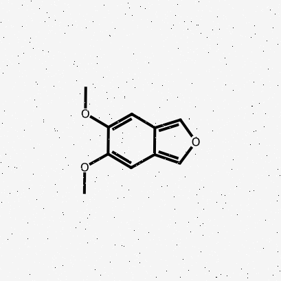 COc1cc2cocc2cc1OC